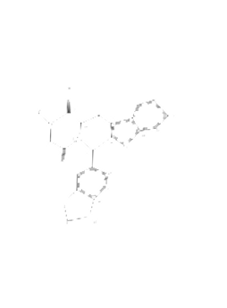 CN1CC(=O)N2C(c3ccc4c(c3)OCO4)c3[nH]c4ccccc4c3C[C@@H]2C1=O